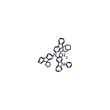 CCC1CC2CCCC(C2)C12c1ccccc1-c1ccc(N(c3ccc4c(c3)C3(CCCC3)c3ccccc3-4)c3ccc4c(c3)c3ccccc3n4-c3ccccc3)cc12